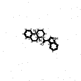 O=C(c1c[nH]c2ccccc12)N1CCC[C@H]2c3ccccc3CC[C@H]21